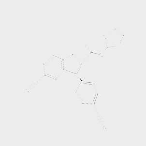 C[C@@]1(C(=O)Nc2nccs2)Cc2ccc(C#N)cc2[C@@H]1c1ccc(C#N)cc1